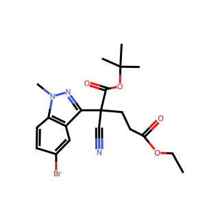 CCOC(=O)CCC(C#N)(C(=O)OC(C)(C)C)c1nn(C)c2ccc(Br)cc12